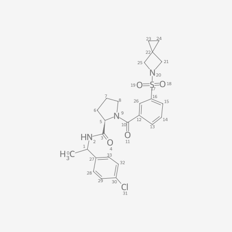 CC(NC(=O)[C@H]1CCCN1C(=O)c1cccc(S(=O)(=O)N2CC3(CC3)C2)c1)c1ccc(Cl)cc1